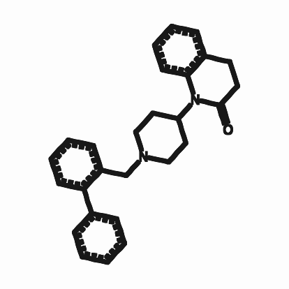 O=C1CCc2ccccc2N1C1CCN(Cc2ccccc2-c2ccccc2)CC1